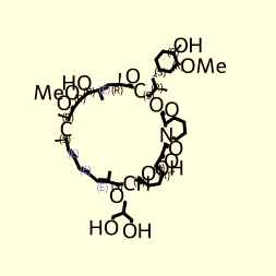 CO[C@@H]1C[C@H](C[C@@H](C)[C@@H]2CC(=O)[C@H](C)/C=C(\C)[C@@H](O)[C@@H](OC)C(=O)[C@H](C)C[C@H](C)/C=C/C=C/C=C(\C)[C@@H](OCC(CO)CO)C[C@@H]3CC[C@@H](C)[C@@](O)(O3)C(=O)C(=O)N3CCCCC3C(=O)O2)CC[C@H]1O